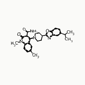 Cc1ccc2c(c1)c(N1CCC(c3nc4cc(C(C)C)ccc4o3)CC1)c(C(N)=O)c(=O)n2C